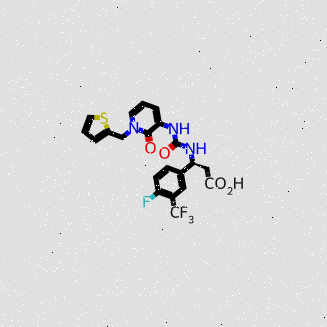 O=C(O)C[C@H](NC(=O)Nc1cccn(Cc2cccs2)c1=O)c1ccc(F)c(C(F)(F)F)c1